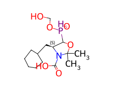 CC1(C)OC([PH](=O)OCO)[C@H](CC2CCCCC2)N1C(=O)O